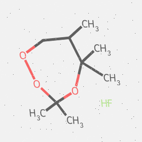 CC1COOC(C)(C)OC1(C)C.F